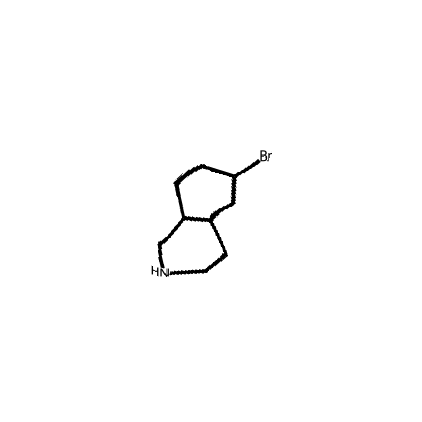 BrC1CCC2CNCCC2C1